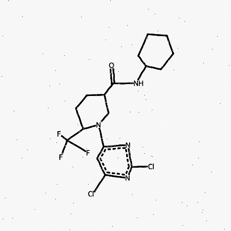 O=C(NC1CCCCC1)C1CCC(C(F)(F)F)N(c2cc(Cl)nc(Cl)n2)C1